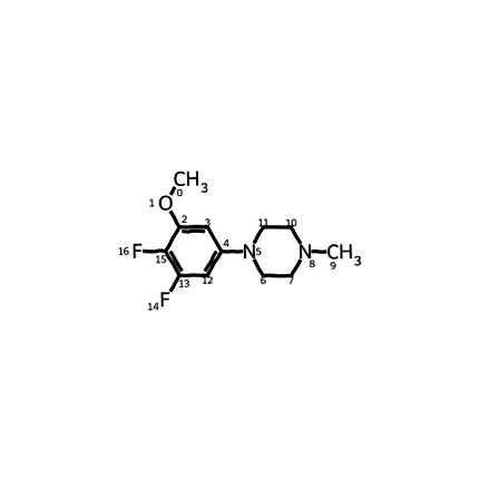 COc1cc(N2CCN(C)CC2)cc(F)c1F